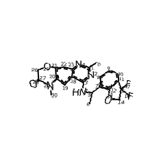 Cc1nc(NC(C)c2cccc3c2OCC3(F)F)c2cc3c(cc2n1)OCC(=O)N3C